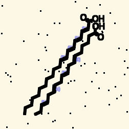 CC/C=C/C/C=C/C/C=C/C/C=C/CCCCC(=O)O.CCCCCCCCCCC/C=C/C=C/C=C/C=C/C(=O)O